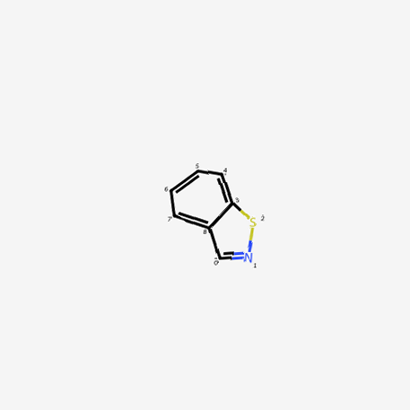 [c]1nsc2[c]cccc12